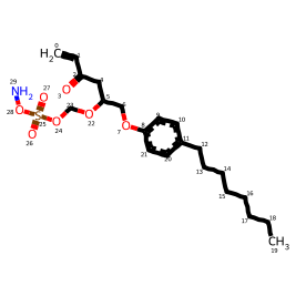 C=CC(=O)CC(COc1ccc(CCCCCCCC)cc1)OCOS(=O)(=O)ON